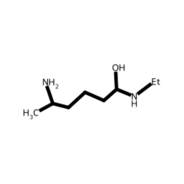 CCNC(O)CCCC(C)N